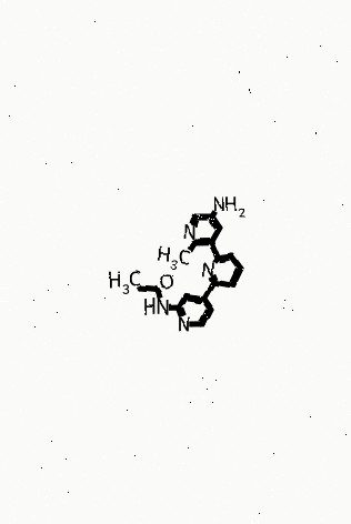 CCC(=O)Nc1cc(-c2cccc(-c3cc(N)cnc3C)n2)ccn1